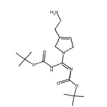 CC(C)(C)OC(=O)N=C(NC(=O)OC(C)(C)C)N1CC=C(CCN)C1